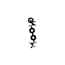 CNC(=O)Nc1ccc(-c2ccc(NC(=O)[C@H]3CN4CCC3CC4)cc2)cc1